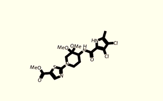 COC(=O)c1cnc(N2CCC(NC(=O)c3[nH]c(C)c(Cl)c3Cl)C(OC)(OC)C2)s1